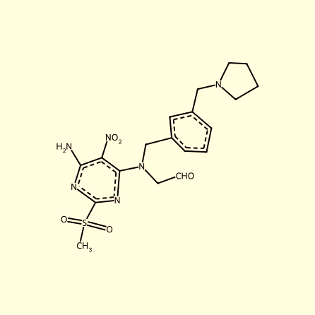 CS(=O)(=O)c1nc(N)c([N+](=O)[O-])c(N(CC=O)Cc2cccc(CN3CCCC3)c2)n1